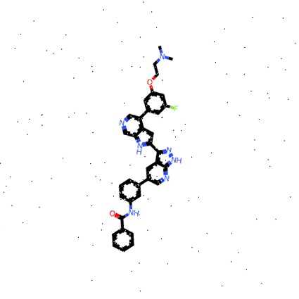 CN(C)CCOc1cc(F)cc(-c2cncc3[nH]c(-c4n[nH]c5ncc(-c6cccc(NC(=O)c7ccccc7)c6)cc45)cc23)c1